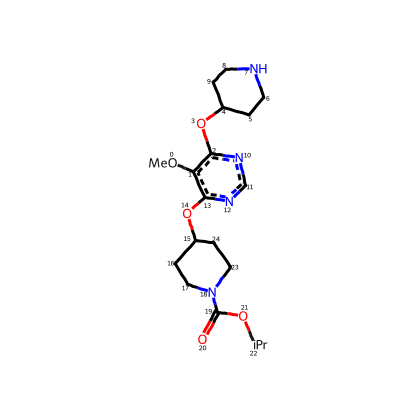 COc1c(OC2CCNCC2)ncnc1OC1CCN(C(=O)OC(C)C)CC1